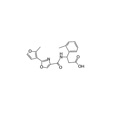 Cc1ccccc1C(CC(=O)O)NC(=O)c1coc(-c2ccoc2C)n1